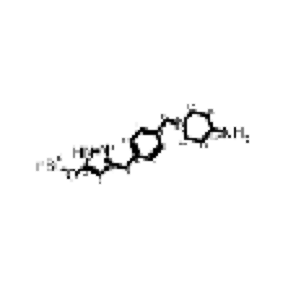 CCCCOc1cc(Cc2ccc(CN3CCC(N)CC3)cc2)n[nH]1